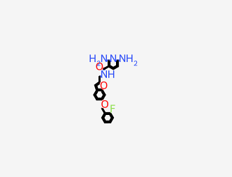 Nc1ccc(C(=O)NCc2cc3ccc(OCc4ccccc4F)cc3o2)c(N)n1